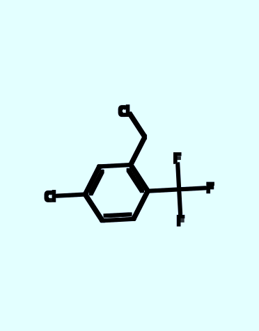 FC(F)(F)c1ccc(Cl)cc1CCl